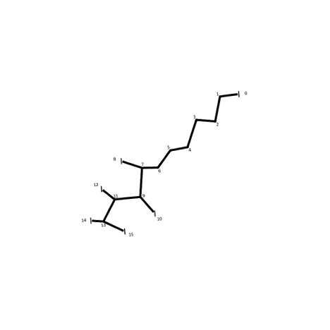 ICCCCCCC(I)C(I)C(I)C(I)I